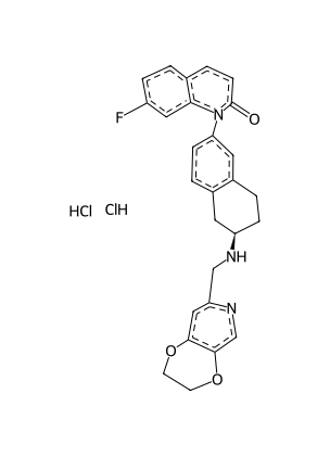 Cl.Cl.O=c1ccc2ccc(F)cc2n1-c1ccc2c(c1)CC[C@@H](NCc1cc3c(cn1)OCCO3)C2